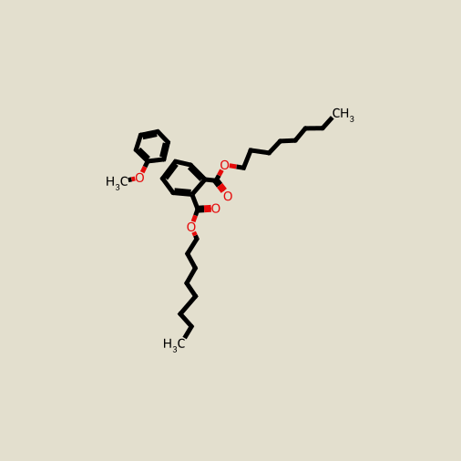 CCCCCCCCOC(=O)c1ccccc1C(=O)OCCCCCCCC.COc1ccccc1